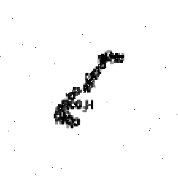 Cc1cc(OCCCN2CC(C)N(CC(=O)N3CCN(c4ccc5c(C6CCC(=O)NC6=O)nn(C)c5c4)CC3)C(C)C2)ccc1-c1ccc(N2CCc3cccc(C(=O)Nc4nc5ccccc5s4)c3C2)nc1C(=O)O